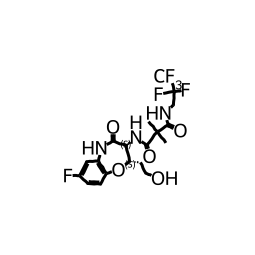 CC(C)(C(=O)NCC(F)(F)C(F)(F)F)C(=O)N[C@@H]1C(=O)Nc2cc(F)ccc2O[C@H]1CCO